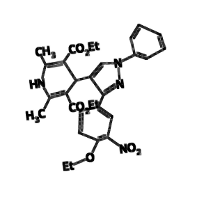 CCOC(=O)C1=C(C)NC(C)=C(C(=O)OCC)C1c1cn(-c2ccccc2)nc1-c1ccc(OCC)c([N+](=O)[O-])c1